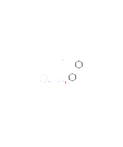 COc1cccc(Oc2ccc(C(=O)NCCCN3CCCCC3)cc2)c1